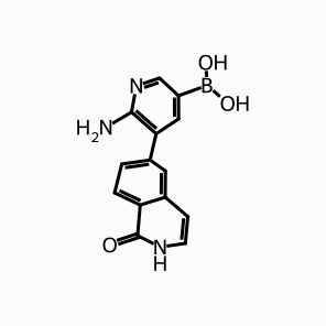 Nc1ncc(B(O)O)cc1-c1ccc2c(=O)[nH]ccc2c1